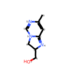 CC1=CC2=NC(CO)CN2C=N1